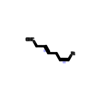 CC/C=C\C/C=C/CC=O